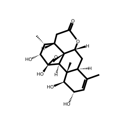 CC1=C[C@H](O)[C@@H](O)[C@]2(C)[C@H]3[C@@]4(O)OC[C@@]35[C@@H](C[C@@H]12)OC(=O)C[C@H]5[C@@H](C)[C@H]4O